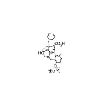 Cc1ccc(O[Si](C)(C)C(C)(C)C)c(C[C@@H](CO)NC(=O)[C@H](Cc2ccccc2)NC(=O)O)c1